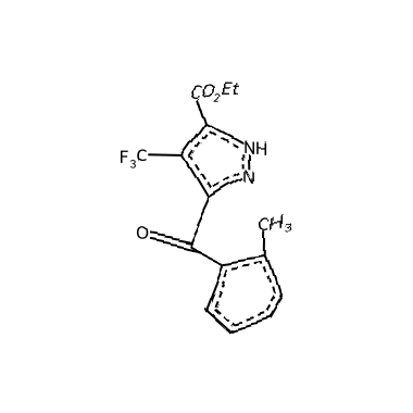 CCOC(=O)c1[nH]nc(C(=O)c2ccccc2C)c1C(F)(F)F